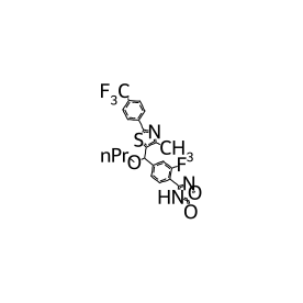 CCCOC(c1ccc(-c2noc(=O)[nH]2)c(F)c1)c1sc(-c2ccc(C(F)(F)F)cc2)nc1C